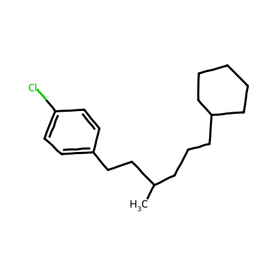 CC(CCCC1CCCCC1)CCc1ccc(Cl)cc1